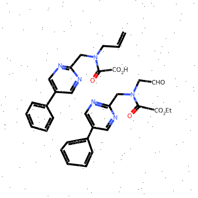 C=CCN(Cc1ncc(-c2ccccc2)cn1)C(=O)C(=O)O.CCOC(=O)C(=O)N(CC=O)Cc1ncc(-c2ccccc2)cn1